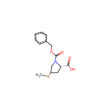 CSC1C[C@@H](C(=O)O)N(C(=O)OCc2ccccc2)C1